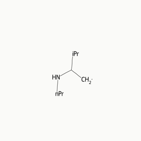 [CH2]C(NCCC)C(C)C